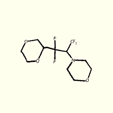 FC(F)(F)C(N1CCOCC1)C(F)(F)C1COCCO1